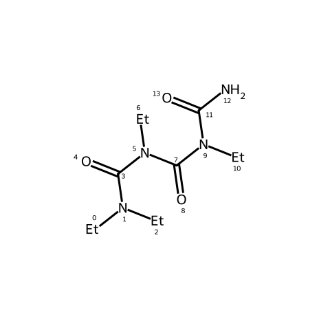 CCN(CC)C(=O)N(CC)C(=O)N(CC)C(N)=O